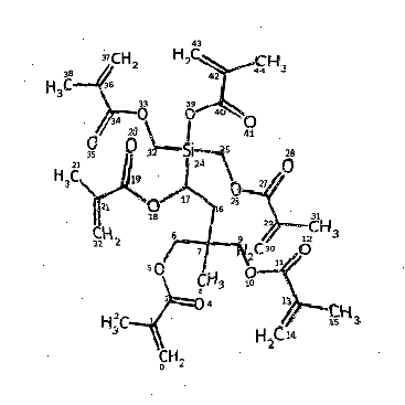 C=C(C)C(=O)OCC(C)(COC(=O)C(=C)C)CC(OC(=O)C(=C)C)[Si](COC(=O)C(=C)C)(COC(=O)C(=C)C)OC(=O)C(=C)C